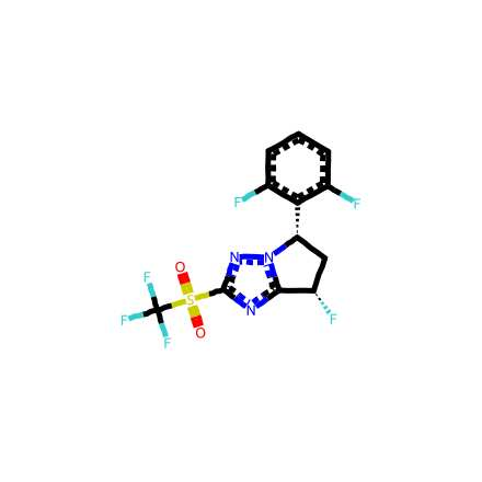 O=S(=O)(c1nc2n(n1)[C@H](c1c(F)cccc1F)C[C@@H]2F)C(F)(F)F